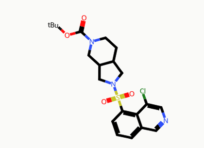 CC(C)(C)OC(=O)N1CCC2CN(S(=O)(=O)c3cccc4cncc(Cl)c34)CC2C1